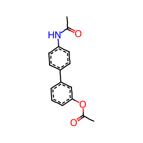 CC(=O)Nc1ccc(-c2cccc(OC(C)=O)c2)cc1